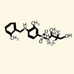 Cc1ccccc1CNc1ccc(S(=O)(=O)NC(C)C(C)(C)CO)cc1C